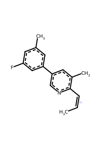 C/C=C\c1ncc(-c2cc(C)cc(F)c2)cc1C